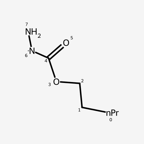 CCCCCOC(=O)[N]N